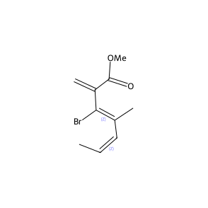 C=C(C(=O)OC)/C(Br)=C(C)/C=C\C